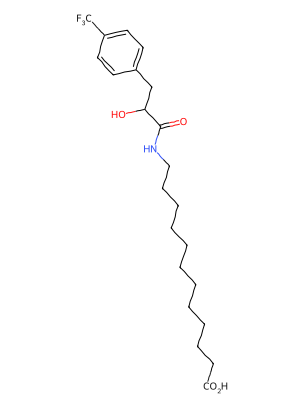 O=C(O)CCCCCCCCCCCNC(=O)C(O)Cc1ccc(C(F)(F)F)cc1